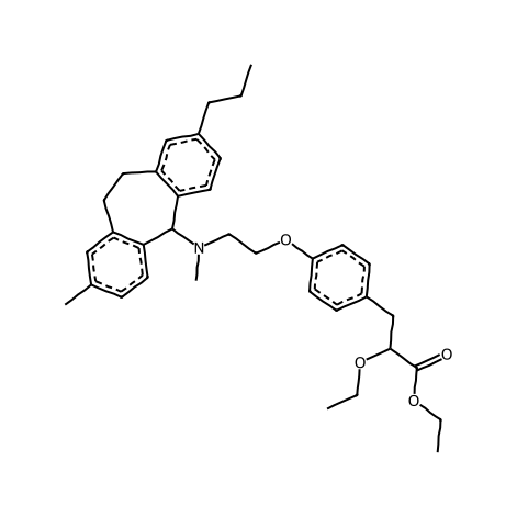 CCCc1ccc2c(c1)CCc1cc(C)ccc1C2N(C)CCOc1ccc(CC(OCC)C(=O)OCC)cc1